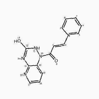 O=C(/C=C/c1ccccc1)N1NC(O)=Nc2ncccc21